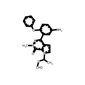 CC(OC=O)n1ccc2c(-c3cc(N)ccc3Oc3ccccc3)nn(C)c(=O)c21